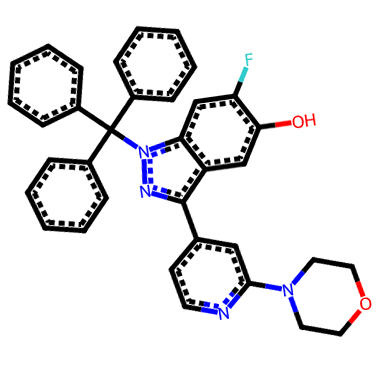 Oc1cc2c(-c3ccnc(N4CCOCC4)c3)nn(C(c3ccccc3)(c3ccccc3)c3ccccc3)c2cc1F